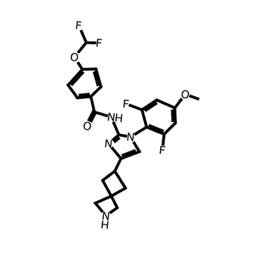 COc1cc(F)c(-n2cc(C3CC4(CNC4)C3)nc2NC(=O)c2ccc(OC(F)F)cc2)c(F)c1